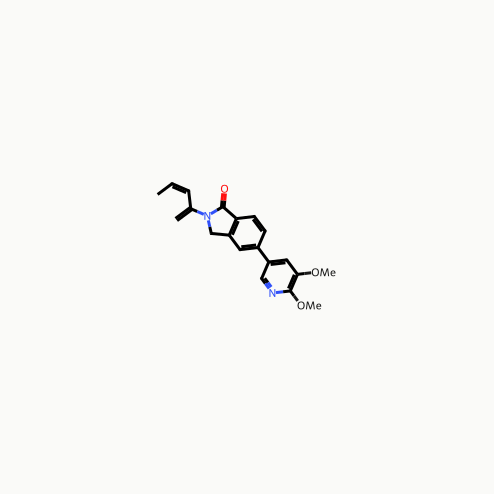 C=C(/C=C\C)N1Cc2cc(-c3cnc(OC)c(OC)c3)ccc2C1=O